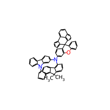 CC1(C)c2ccccc2-c2c(N(c3ccc4c(c3)Oc3ccccc3C43c4ccccc4-c4cccc5cccc3c45)c3ccc4c5ccccc5n(-c5ccccc5)c4c3)cccc21